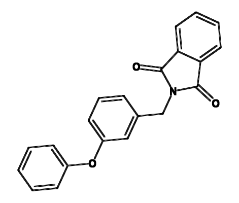 O=C1c2ccccc2C(=O)N1Cc1cccc(Oc2ccccc2)c1